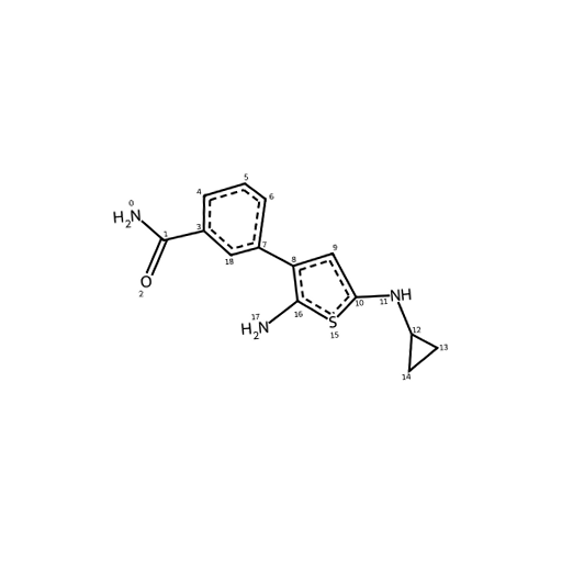 NC(=O)c1cccc(-c2cc(NC3CC3)sc2N)c1